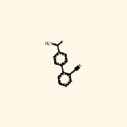 CC(N)c1ccc(-c2ccccc2C#N)cc1